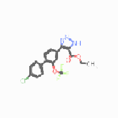 CCOC(=O)c1[nH]nnc1-c1ccc(-c2ccc(Cl)cc2)c(OC(F)(F)F)c1